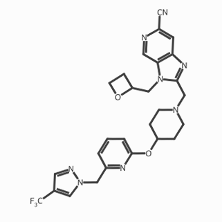 N#Cc1cc2nc(CN3CCC(Oc4cccc(Cn5cc(C(F)(F)F)cn5)n4)CC3)n(CC3CCO3)c2cn1